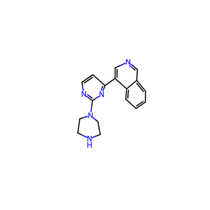 c1ccc2c(-c3ccnc(N4CCNCC4)n3)cncc2c1